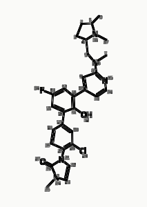 CC1CCC(CN(C)c2cc(-c3cc(F)cc(-c4ccc(-n5ccn(C)c5=O)c(Cl)c4)c3O)ccn2)N1C